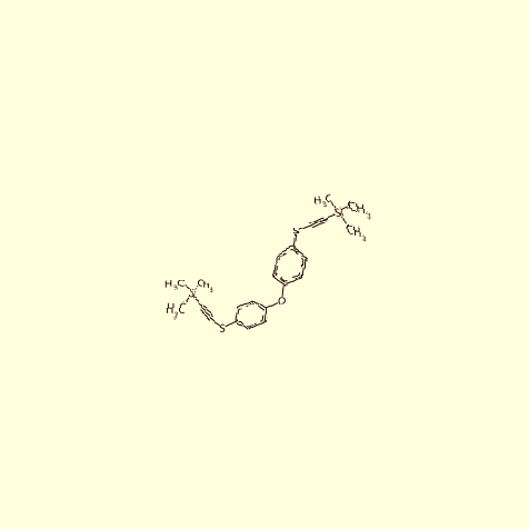 C[Si](C)(C)C#CSc1ccc(Oc2ccc(SC#C[Si](C)(C)C)cc2)cc1